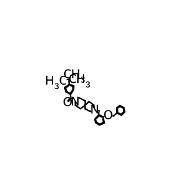 CC(C)(C)c1ccc(C(=O)N2CCC3(CCN(Cc4ccccc4OCc4ccccc4)CC3)CC2)cc1